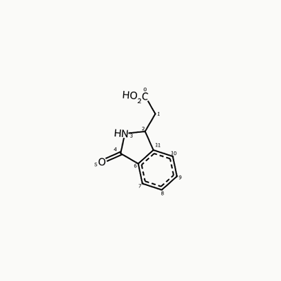 O=C(O)CC1NC(=O)c2ccccc21